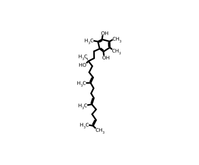 CC(C)=CCC/C(C)=C/CC/C(C)=C/CC[C@@](C)(O)CCc1c(C)c(O)c(C)c(C)c1O